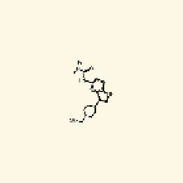 CC(C)N(C)C(=O)Nc1ccc2[nH]cc(C3CCN(CC(C)(C)C)CC3)c2n1